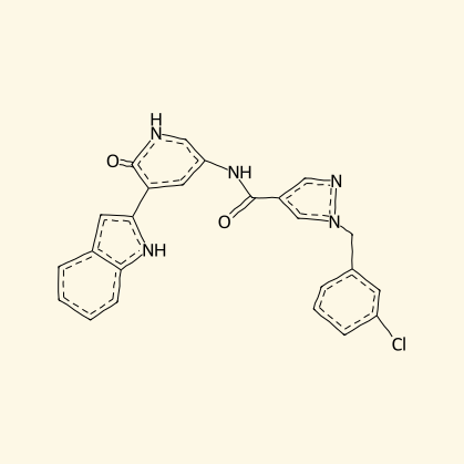 O=C(Nc1c[nH]c(=O)c(-c2cc3ccccc3[nH]2)c1)c1cnn(Cc2cccc(Cl)c2)c1